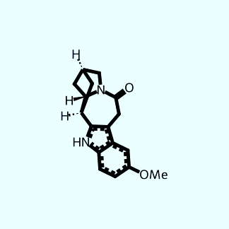 COc1ccc2[nH]c3c(c2c1)CC(=O)N1C[C@H]2C[C@@H]3[C@@H]1C2